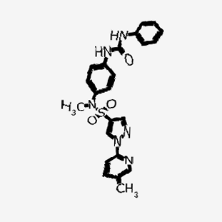 Cc1ccc(-n2cc(S(=O)(=O)N(C)c3ccc(NC(=O)Nc4ccccc4)cc3)cn2)nc1